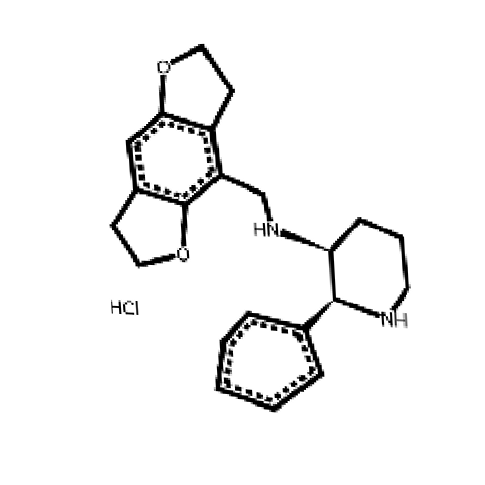 Cl.c1ccc([C@@H]2NCCC[C@@H]2NCc2c3c(cc4c2OCC4)OCC3)cc1